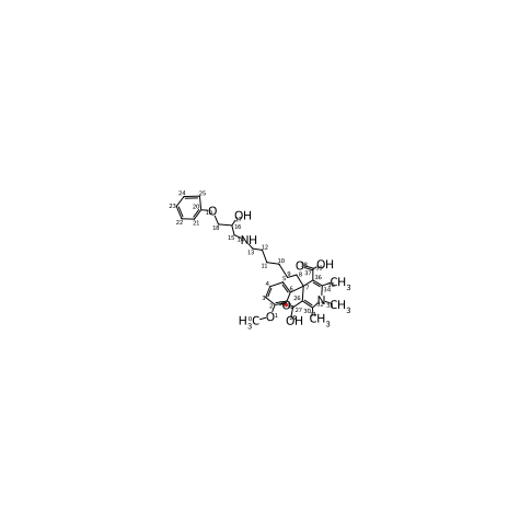 COc1cccc(C2(CCCCCCNCC(O)COc3ccccc3)C(C(=O)O)=C(C)N(C)C(C)=C2C(=O)O)c1